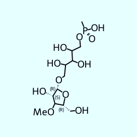 COC1[C@@H](CO)O[C@@H](OCC(O)C(O)C(O)COP(C)(=O)O)[C@H]1O